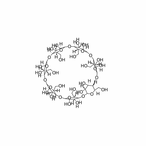 OC[C@H]1OC2O[C@H]3[C@H](O)[C@@H](O)C(O[C@H]4[C@H](O)C(O)C(O[C@H]5[C@H](O)[C@@H](O)C(O[C@H]6[C@H](O)[C@@H](O)C(O[C@H]7[C@H](O)[C@@H](O)C(O[C@H]8[C@H](O)[C@@H](O)C(OC1[C@H](O)[C@H]2O)O[C@@H]8CO)O[C@@H]7CO)O[C@@H]6CO)O[C@@H]5CO)O[C@@H]4CO)O[C@@H]3CO